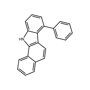 c1ccc(-c2cccc3[nH]c4c5ccccc5ccc4c23)cc1